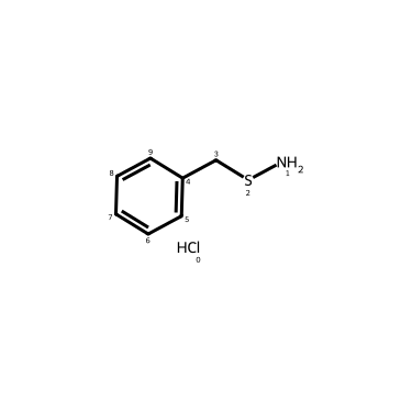 Cl.NSCc1ccccc1